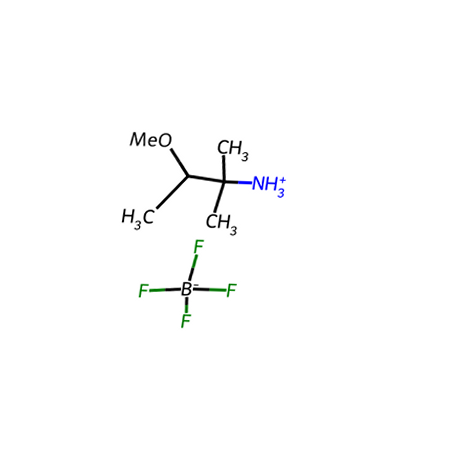 COC(C)C(C)(C)[NH3+].F[B-](F)(F)F